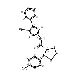 CCc1sc(NC(=O)[C@@H]2CCCN2c2ccc(Cl)cc2)nc1-c1ccccc1